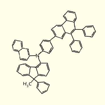 CC1(c2ccccc2)c2ccccc2-c2c(N(c3ccc(-c4ccc5c(c4)c(-c4ccccc4)c(-c4ccccc4)c4ccccc45)cc3)c3ccc4ccccc4c3)cccc21